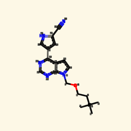 C[Si](C)(C)CCOCn1ccc2c(-c3c[nH]c(C#N)c3)ncnc21